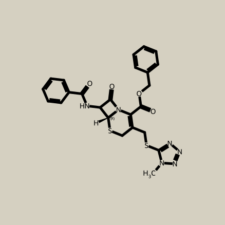 Cn1nnnc1SCC1=C(C(=O)OCc2ccccc2)N2C(=O)C(NC(=O)c3ccccc3)[C@H]2SC1